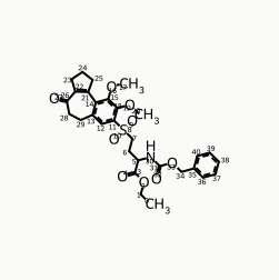 CCOC(=O)C(CCS(=O)(=O)c1cc2c(c(OC)c1OC)C1=C(CCC1)C(=O)CC2)NC(=O)OCc1ccccc1